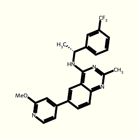 COc1cc(-c2ccc3nc(C)nc(N[C@H](C)c4cccc(C(F)(F)F)c4)c3c2)ccn1